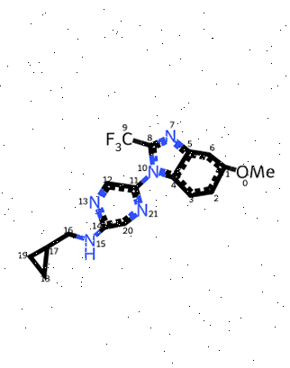 COc1ccc2c(c1)nc(C(F)(F)F)n2-c1cnc(NCC2CC2)cn1